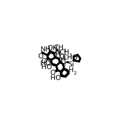 CN(C)[C@@H]1C(O)=C(C(N)=O)C(=O)[C@@]2(O)C(O)=C3C(=O)c4c(O)cccc4[C@H](C[SiH2]C4CCCC4)[C@H]3[C@H](OC=O)[C@@H]12